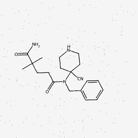 CC(C)(C[CH]C(=O)N(Cc1ccccc1)C1(C#N)CCNCC1)C(N)=O